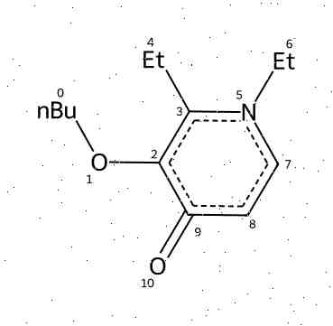 CCCCOc1c(CC)n(CC)ccc1=O